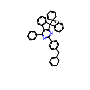 CC1(C2(c3ccccc3)c3ccccc3-c3c(-c4ccccc4)nc(-c4ccc(CC5=CC=CCC5)cc4)nc32)C=CC=CC1